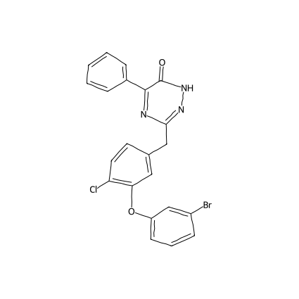 O=c1[nH]nc(Cc2ccc(Cl)c(Oc3cccc(Br)c3)c2)nc1-c1ccccc1